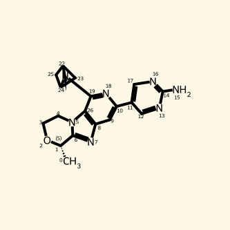 C[C@@H]1OCCn2c1nc1cc(-c3cnc(N)nc3)nc(N3CC4CC3C4)c12